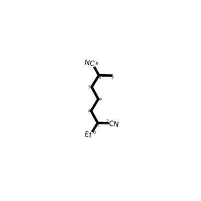 CCC(C#N)CCCC(C)C#N